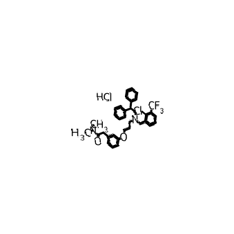 CN(C)C(=O)Cc1cccc(OCCCN(Cc2cccc(C(F)(F)F)c2Cl)CC(c2ccccc2)c2ccccc2)c1.Cl